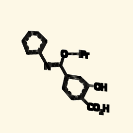 CC(C)O/C(=N\c1ccccc1)c1ccc(C(=O)O)c(O)c1